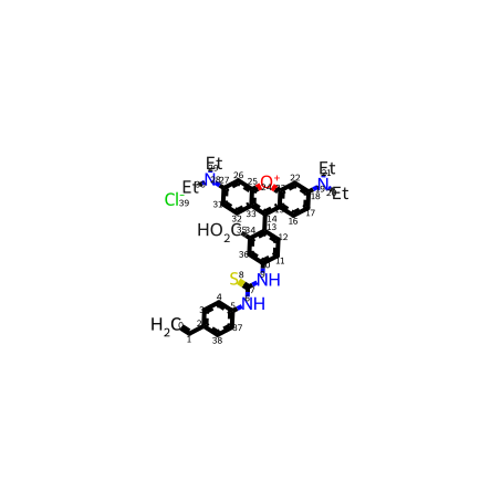 C=Cc1ccc(NC(=S)Nc2ccc(-c3c4ccc(N(CC)CC)cc4[o+]c4cc(N(CC)CC)ccc34)c(C(=O)O)c2)cc1.[Cl-]